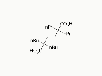 CCCCC(CCCC)(CCC(CCC)(CCC)C(=O)O)C(=O)O